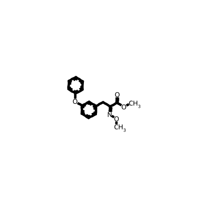 CON=C(Cc1cccc(Oc2ccccc2)c1)C(=O)OC